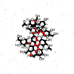 CC(=O)NC1C(OC2[C@@H](OCC3O[C@@H](O[C@@H]4C(CO)O[C@@H](O[C@@H]5C(CO)O[C@@H](C)C(NC(C)=O)[C@H]5O)C(NC(C)=O)[C@H]4O)C(O)[C@@H](O[C@H]4OC(CO)[C@@H](O)C(O)C4O[C@@H]4OC(CO)[C@@H](O)[C@H](O)C4NC(C)=O)[C@@H]3O)OC(CO)[C@@H](O)[C@@H]2O)O[C@@H](CO)[C@@H](O[C@@H]2OC(CO)[C@H](O)[C@H](O[C@]3(OC=O)C[C@@H](O)[C@@H](C)C(C(O)[C@H](O)CO)O3)C2O)C1O